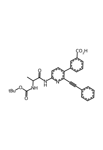 CC(NC(=O)OC(C)(C)C)C(=O)Nc1ccc(-c2cccc(C(=O)O)c2)c(C#Cc2ccccc2)n1